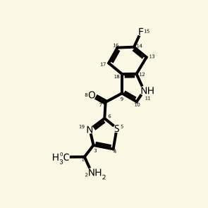 CC(N)c1csc(C(=O)c2c[nH]c3cc(F)ccc23)n1